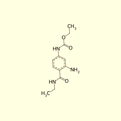 CCNC(=O)c1ccc(NC(=O)OCC)cc1N